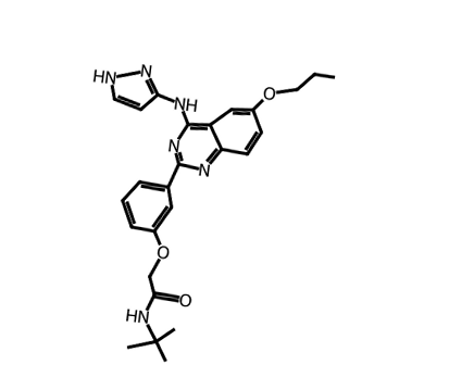 CCCOc1ccc2nc(-c3cccc(OCC(=O)NC(C)(C)C)c3)nc(Nc3cc[nH]n3)c2c1